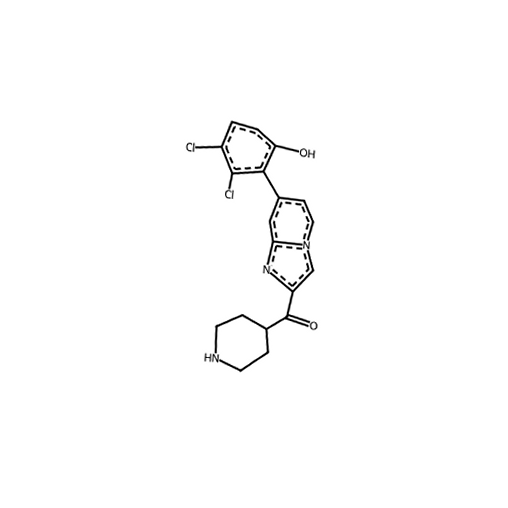 O=C(c1cn2ccc(-c3c(O)ccc(Cl)c3Cl)cc2n1)C1CCNCC1